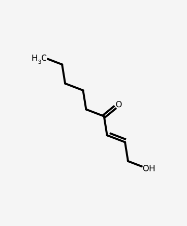 CCCCCC(=O)C=CCO